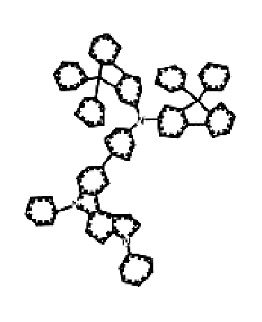 c1ccc(-n2ccc3c4c5cc(-c6ccc(N(c7ccc8c(c7)C(c7ccccc7)(c7ccccc7)c7ccccc7-8)c7ccc8c(c7)C(c7ccccc7)(c7ccccc7)c7ccccc7-8)cc6)ccc5n(-c5ccccc5)c4ccc32)cc1